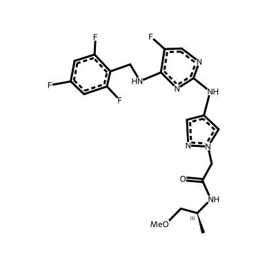 COC[C@H](C)NC(=O)Cn1cc(Nc2ncc(F)c(NCc3c(F)cc(F)cc3F)n2)cn1